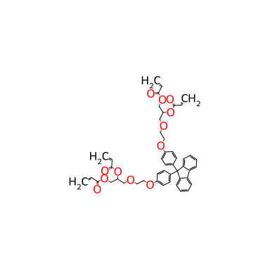 C=CC(=O)OCC(COCCOc1ccc(C2(c3ccc(OCCOCC(COC(=O)C=C)OC(=O)C=C)cc3)c3ccccc3-c3ccccc32)cc1)OC(=O)C=C